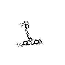 COc1cccc(CN(Cc2ccc3nc[nH]c3c2)c2nc(COCCOc3cccc(N(C)C)c3)co2)c1